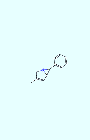 CC1=CC2C(c3ccccc3)N2C1